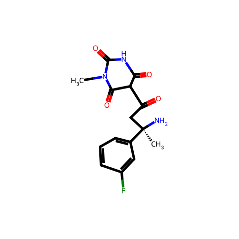 CN1C(=O)NC(=O)C(C(=O)C[C@@](C)(N)c2cccc(F)c2)C1=O